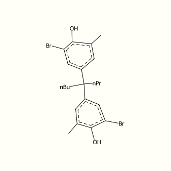 CCCCC(CCC)(c1cc(C)c(O)c(Br)c1)c1cc(C)c(O)c(Br)c1